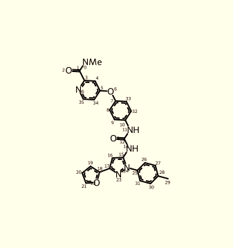 CNC(=O)c1cc(Oc2ccc(NC(=O)Nc3cc(-c4ccco4)nn3-c3ccc(C)cc3)cc2)ccn1